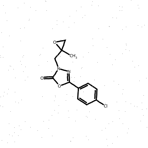 CC1(Cn2nc(-c3ccc(Cl)cc3)oc2=O)CO1